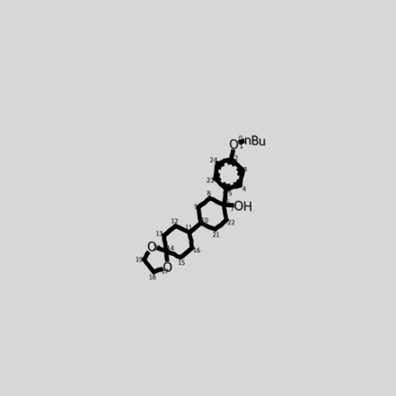 CCCCOc1ccc(C2(O)CCC(C3CCC4(CC3)OCCO4)CC2)cc1